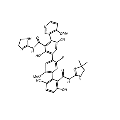 COc1cc(-c2cc(C#N)c(-c3cnccc3OC)c(C(=O)NC3=NCCN3)c2O)c(F)cc1-c1c(C#N)ccc(O)c1C(=O)NC1=NC(C)(C)CN1